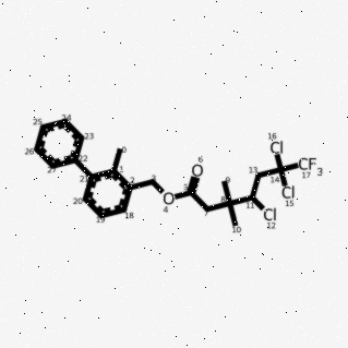 Cc1c(COC(=O)CC(C)(C)C(Cl)CC(Cl)(Cl)C(F)(F)F)cccc1-c1ccccc1